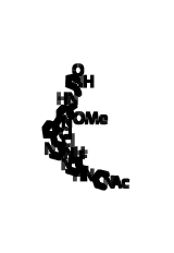 COc1nc(-c2cccc(-c3nccc(Nc4nccc(CNC5CCN(C(C)=O)CC5)c4F)c3Cl)c2Cl)ccc1CNCC1CCC(=O)N1